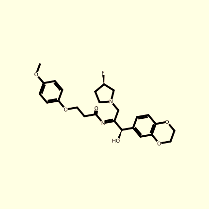 COc1ccc(OCCC(=O)/N=C(\CN2CC[C@@H](F)C2)[C@H](O)c2ccc3c(c2)OCCO3)cc1